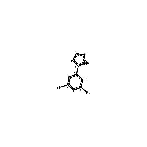 Fc1cc(F)cc(-n2cccn2)c1